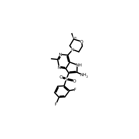 Cc1nc(N2CCO[C@H](C)C2)c2[nH]c(N)c(S(=O)(=O)c3ccc(F)cc3F)c2n1